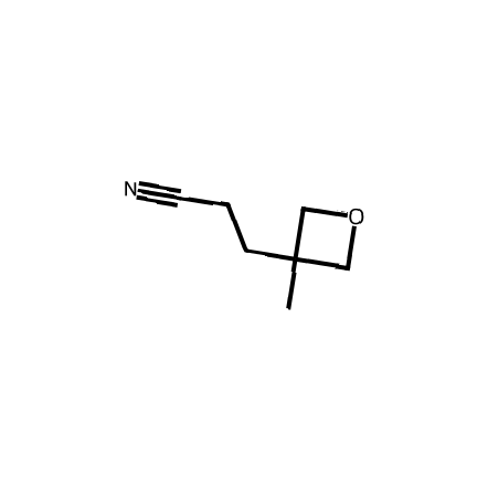 CC1(CCC#N)COC1